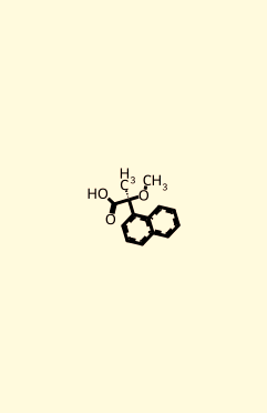 CO[C@](C)(C(=O)O)c1cccc2ccccc12